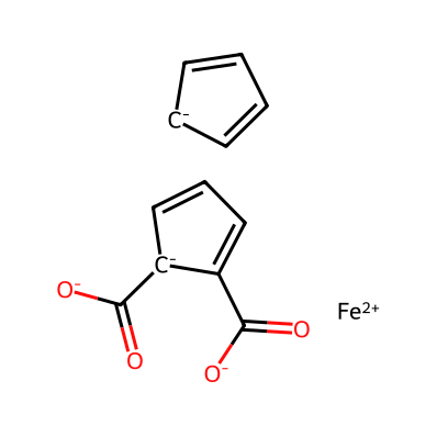 O=C([O-])c1ccc[c-]1C(=O)[O-].[Fe+2].c1cc[cH-]c1